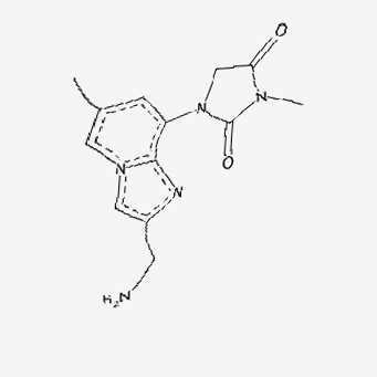 Cc1cc(N2CC(=O)N(C)C2=O)c2nc(CN)cn2c1